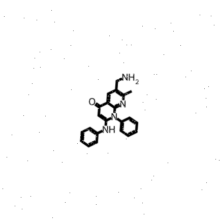 Cc1nc2c(cc1CN)c(=O)cc(Nc1ccccc1)n2-c1ccccc1